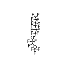 FC(OC(F)(F)F)C(F)(F)OCC(F)(F)C(F)(F)C(F)(F)C(F)(F)C(F)(F)C(F)F